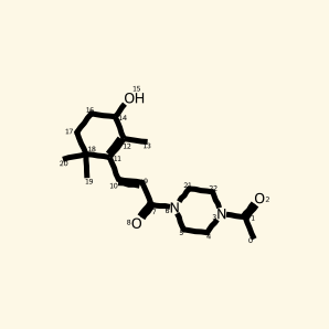 CC(=O)N1CCN(C(=O)/C=C/C2=C(C)C(O)CCC2(C)C)CC1